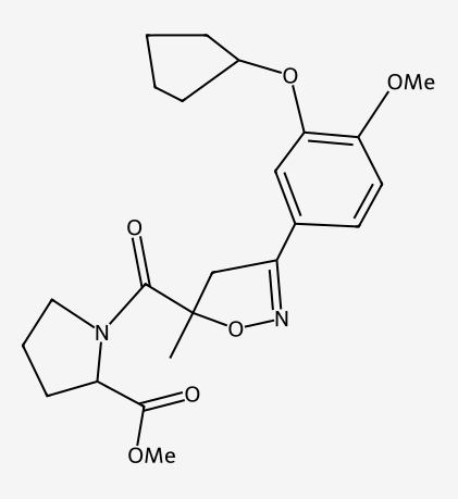 COC(=O)C1CCCN1C(=O)C1(C)CC(c2ccc(OC)c(OC3CCCC3)c2)=NO1